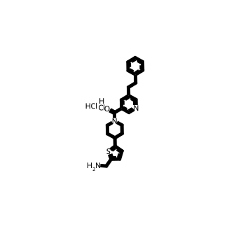 Cl.Cl.NCc1ccc(C2CCN(C(=O)c3cncc(CCc4ccccc4)c3)CC2)s1